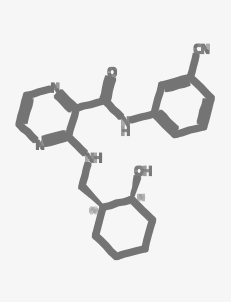 N#Cc1cccc(NC(=O)c2nccnc2NC[C@@H]2CCCC[C@@H]2O)c1